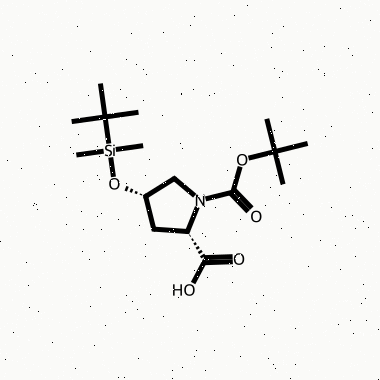 CC(C)(C)OC(=O)N1C[C@@H](O[Si](C)(C)C(C)(C)C)C[C@H]1C(=O)O